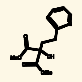 COC(=O)C(O)(CCc1ccccn1)C(=O)OC